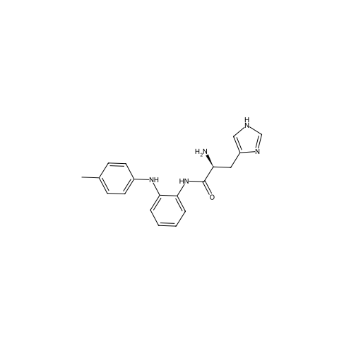 Cc1ccc(Nc2ccccc2NC(=O)[C@@H](N)Cc2c[nH]cn2)cc1